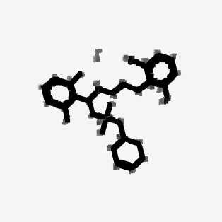 Cc1cccc(C)c1C(C[N+](C)(C)CC1CC=CCC1)OCCCc1c(F)cccc1F.[I-]